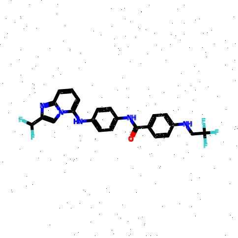 O=C(Nc1ccc(Nc2cccc3nc(C(F)F)cn23)cc1)c1ccc(NCC(F)(F)F)cc1